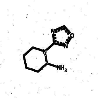 NC1CCCCN1c1ncon1